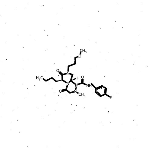 CCCC[C@H]1C(=O)N(CCCOC)C[C@H]2N1C(=O)CN(C)N2C(=O)NCc1ccc(F)cc1